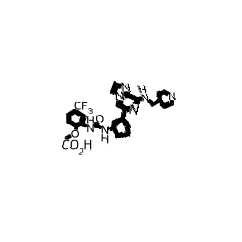 O=C(O)COc1ccc(C(F)(F)F)cc1NC(=O)Nc1cccc(-c2cn3ccnc3c(NCc3ccncc3)n2)c1